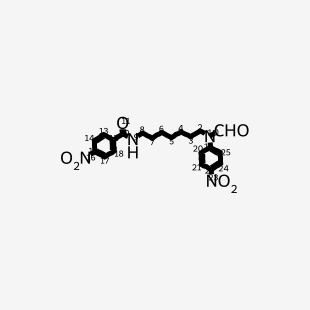 O=CN(CCCCCCCNC(=O)c1ccc([N+](=O)[O-])cc1)c1ccc([N+](=O)[O-])cc1